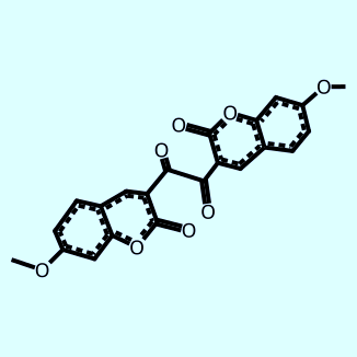 COc1ccc2cc(C(=O)C(=O)c3cc4ccc(OC)cc4oc3=O)c(=O)oc2c1